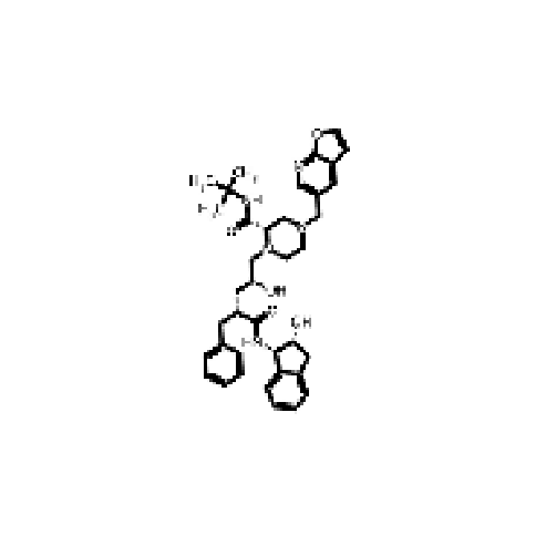 CC(C)(C)NC(=O)[C@@H]1CN(Cc2cnc3occc3c2)CCN1C[C@@H](O)C[C@@H](Cc1ccccc1)C(=O)N[C@H]1c2ccccc2C[C@H]1O